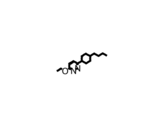 CCCCC1CCC(c2ccc(OCC)nn2)CC1